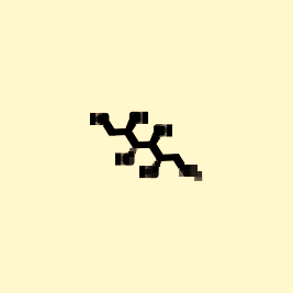 NC[C@H](O)[C@H](O)[C@H](O)[C@H](O)CO